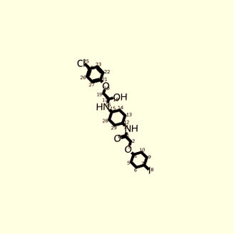 O=C(COC1CCC(I)CC1)NC1CCC(NC(O)COc2ccc(Cl)cc2)CC1